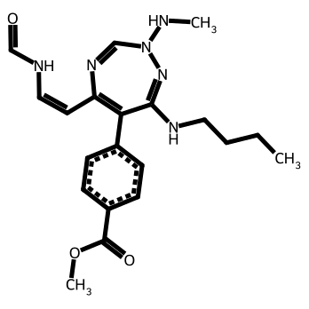 CCCCNC1=NN(NC)C=NC(/C=C\NC=O)=C1c1ccc(C(=O)OC)cc1